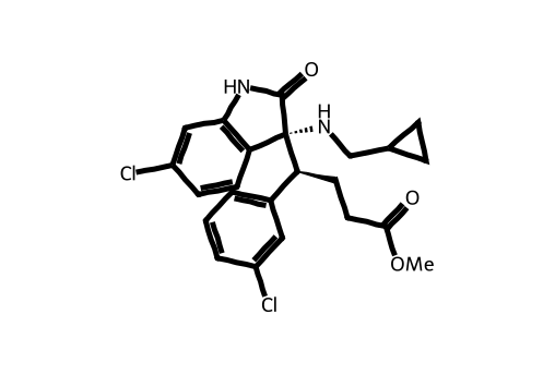 COC(=O)CC[C@@H](c1cccc(Cl)c1)[C@]1(NCC2CC2)C(=O)Nc2cc(Cl)ccc21